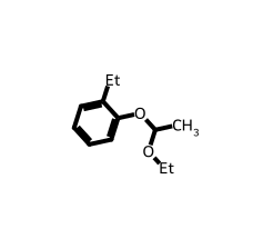 CCOC(C)Oc1ccccc1CC